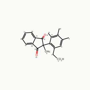 CC(=O)OC1(c2c(CC(=O)O)cc(C)c(C)c2C)C(=O)c2ccccc2C1=O